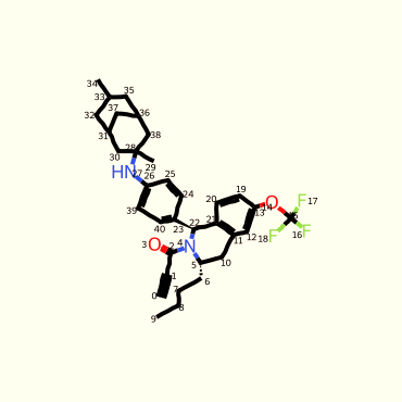 C#CC(=O)N1[C@@H](CCCC)Cc2cc(OC(F)(F)F)ccc2[C@@H]1c1ccc(NC2(C)CC3CC(C)CC(C3)C2)cc1